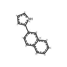 [c]1c(-c2ccc[nH]2)ccc2ccccc12